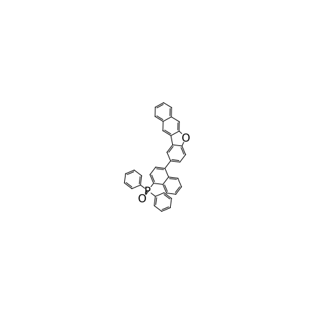 O=P(c1ccccc1)(c1ccccc1)c1ccc(-c2ccc3oc4cc5ccccc5cc4c3c2)c2ccccc12